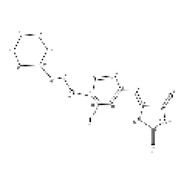 O=C1NC(=O)C(=Cc2ccc(OCCC3CCCCC3)c(F)c2)S1